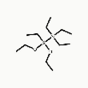 CCO[Si](CC)(OCC)[Si](CC)(CC)CC